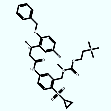 C[C@H](CC(=O)Nc1ccc(S(=O)(=O)C2CC2)c(CN(C)C(=O)OCC[Si](C)(C)C)c1)c1cc(Br)ccc1OCc1ccccc1